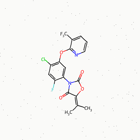 CC(C)=C1OC(=O)N(c2cc(Oc3ncccc3C(F)(F)F)c(Cl)cc2F)C1=O